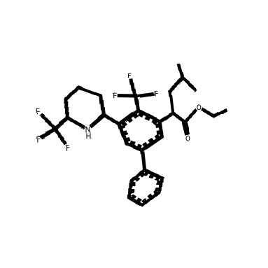 CCOC(=O)C(CC(C)C)c1cc(-c2ccccc2)cc(C2CCCC(C(F)(F)F)N2)c1C(F)(F)F